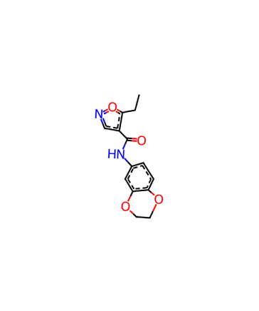 CCc1oncc1C(=O)Nc1ccc2c(c1)OCCO2